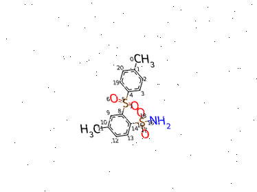 Cc1ccc(S(=O)(=O)c2cc(C)ccc2S(N)(=O)=O)cc1